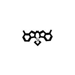 CC1=Cc2c(C)cccc2C1[Si]1(C2C(C)=Cc3c(C)cccc32)CCC1